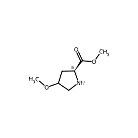 COC(=O)[C@@H]1CC(OC)CN1